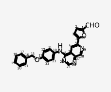 O=Cc1ccc(-c2cc3c(Nc4ccc(OCc5ccccc5)cc4)ncnc3cn2)o1